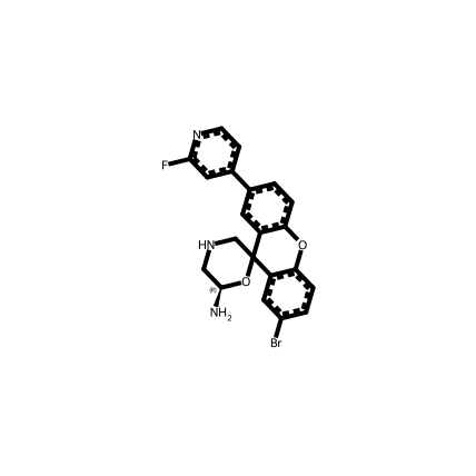 N[C@H]1CNCC2(O1)c1cc(Br)ccc1Oc1ccc(-c3ccnc(F)c3)cc12